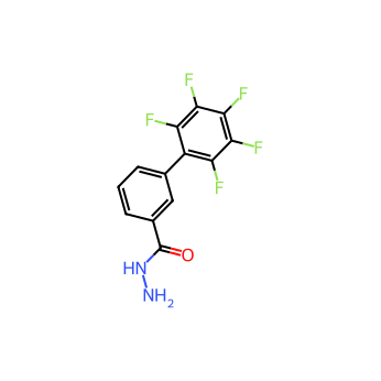 NNC(=O)c1cccc(-c2c(F)c(F)c(F)c(F)c2F)c1